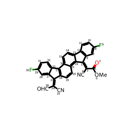 COC(=O)/C(C#N)=C1\c2cc(F)ccc2-c2ccc3c4c(ccc3c21)/C(=C(\C#N)C=O)c1cc(F)ccc1-4